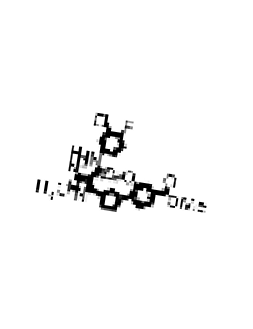 COC(=O)c1ccc(C2CCC(c3nn(C)c(N)c3C(=O)Nc3ccc(F)c(Cl)c3)C2)c(OC)c1